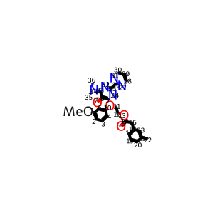 COc1ccccc1Oc1c(OCCOC(=O)Cc2cccc(C)c2)nc(-c2ncccn2)nc1N(C)C